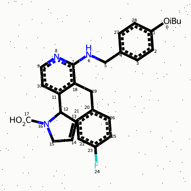 CC(C)COc1ccc(CNc2nccc(C3C=CCN3C(=O)O)c2Cc2ccc(F)cc2)cc1